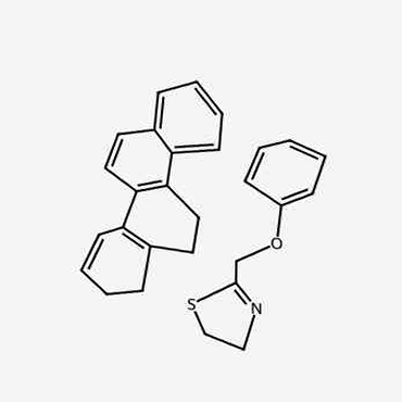 C1=CC2=C(CC1)CCc1c2ccc2ccccc12.c1ccc(OCC2=NCCS2)cc1